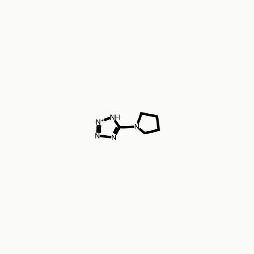 C1CCN(C2=NN=[N+]N2)C1